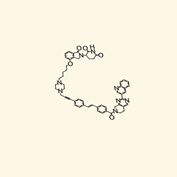 O=C1CCC(N2Cc3c(OCCCCCN4CCN(CC#Cc5ccc(/C=C/c6ccc(C(=O)N7CCc8cnc(-c9cnc%10ccccc%10c9)nc8C7)cc6)cc5)CC4)cccc3C2=O)C(=O)N1